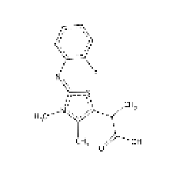 Cc1c(C(C)C(=O)O)sc(=Nc2ccccc2F)n1C